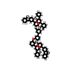 Cc1cc(-c2ccc(N(c3ccc(-c4ccc5oc6ccccc6c5c4)cc3)c3c(C)cccc3-c3ccc4sc5ccccc5c4c3)c(C)c2)ccc1N(c1ccc(-c2ccc3oc4ccccc4c3c2)cc1)c1c(C)cccc1-c1ccc2sc3ccccc3c2c1